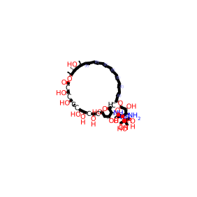 C[C@@H]1[C@H](O)[C@@H](C)/C=C/C=C/C=C/C=C/C=C/C=C/C=C/[C@H](O[C@@H]2O[C@H](C)[C@@H](O)[C@H](N)[C@@H]2O)C[C@@H]2O[C@](O)(C[C@@H](O)C[C@@H](O)[C@H](O)CC[C@@H](O)C[C@@H](O)CC(=O)O[C@H]1C)C[C@H](O)[C@H]2NC(=O)NC(CO)(CO)CO